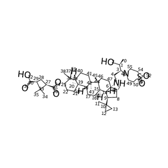 C[C@H](O)[C@H](CN[C@]12CC[C@@H](C3(C)CC3)[C@@H]1[C@H]1CC[C@@H]3[C@@]4(C)CC[C@H](OC(=O)[C@@H]5C[C@H](C(=O)O)C5(C)C)C(C)(C)[C@@H]4CC[C@@]3(C)[C@]1(C)CC2)N1CCS(=O)(=O)CC1